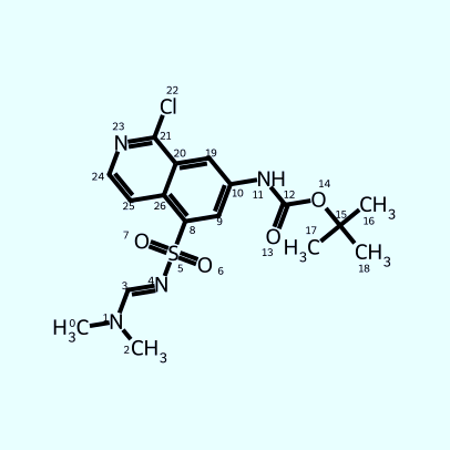 CN(C)/C=N/S(=O)(=O)c1cc(NC(=O)OC(C)(C)C)cc2c(Cl)nccc12